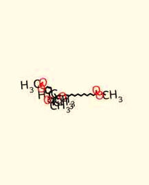 CCOC(=O)CCCCCCCCCCOCC(C)(C)C1=C(c2cccc(OC(C)=O)c2)OCC1(C)C